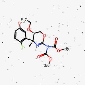 CC(C)(C)OC(=O)N(C(=O)OC(C)(C)C)C1=N[C@](C)(c2cc(Br)ccc2F)[C@@H](OCC(F)(F)F)CO1